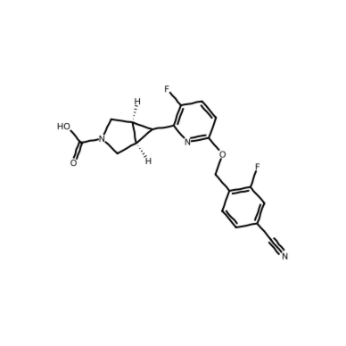 N#Cc1ccc(COc2ccc(F)c(C3[C@H]4CN(C(=O)O)C[C@@H]34)n2)c(F)c1